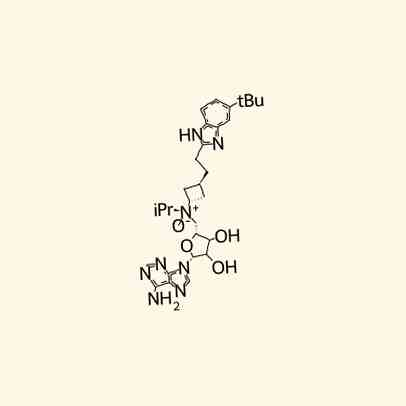 CC(C)[N@+]([O-])(C[C@H]1O[C@@H](n2cnc3c(N)ncnc32)C(O)C1O)[C@H]1C[C@H](CCc2nc3cc(C(C)(C)C)ccc3[nH]2)C1